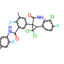 Cc1cc(C2(C(N)=O)C(c3ccc(F)c(Cl)c3)C2(Cl)Cl)cc(C(=O)Nc2ccc(F)cc2F)c1F